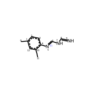 Cc1ccc(/N=C/NC=N)c(C)c1